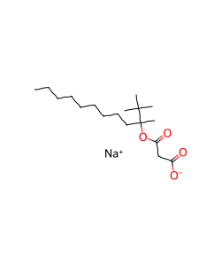 CCCCCCCCCC(C)(OC(=O)CC(=O)[O-])C(C)(C)C.[Na+]